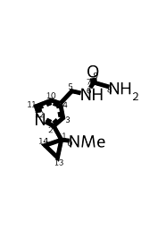 CNC1(c2cc(CNC(N)=O)ccn2)CC1